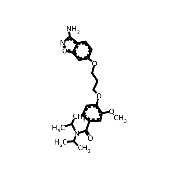 COc1cc(C(=O)N(C(C)C)C(C)C)ccc1OCCCOc1ccc2c(N)noc2c1